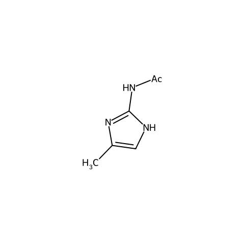 CC(=O)Nc1nc(C)c[nH]1